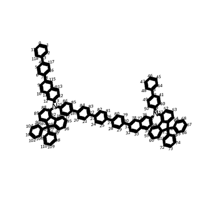 c1ccc(-c2ccc(-c3ccc4cc(N(c5ccc(-c6ccc(-c7ccc(-c8ccc(-c9ccc%10ccc(N(c%11ccc(-c%12ccccc%12)cc%11)c%11cccc%12c%11-c%11ccccc%11C%12(c%11ccccc%11)c%11ccccc%11)cc%10c9)cc8)cc7)cc6)cc5)c5cccc6c5-c5ccccc5C6(c5ccccc5)c5ccccc5)ccc4c3)cc2)cc1